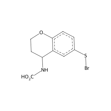 O=C(O)NC1CCOc2ccc(SBr)cc21